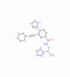 CC(CNC(=O)c1ccc(-n2cccn2)c(C#Cc2ccccc2)c1)n1cncn1